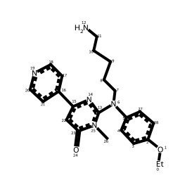 CCOc1ccc(N(CCCCCN)c2nc(-c3ccncc3)cc(=O)n2C)cc1